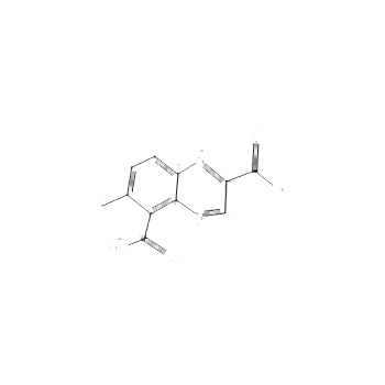 O=C(O)c1cnc2c(C(=O)O)c(Cl)ccc2n1